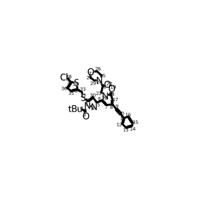 CC(C)(C)C(=O)n1nc(-c2cc(C#Cc3ccccc3)cc(=O)n2CC(=O)N2CCOCC2)cc1SCc1ccc(Cl)s1